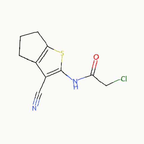 N#Cc1c(NC(=O)CCl)sc2c1CCC2